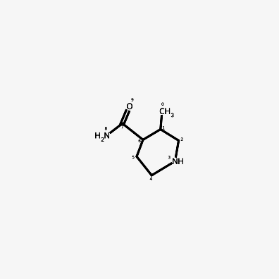 CC1CNCCC1C(N)=O